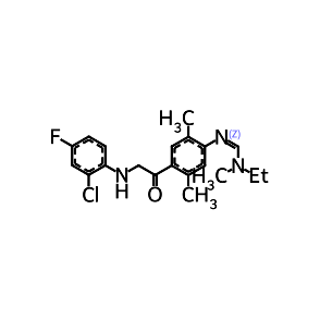 CCN(C)/C=N\c1cc(C)c(C(=O)CNc2ccc(F)cc2Cl)cc1C